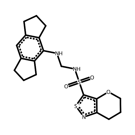 O=S(=O)(NCNc1c2c(cc3c1CCC3)CCC2)c1snc2c1OCCC2